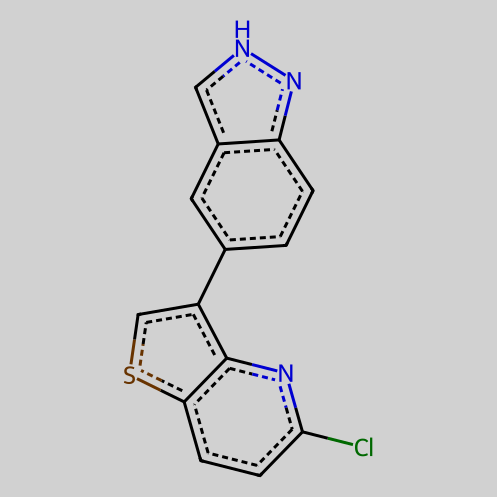 Clc1ccc2scc(-c3ccc4n[nH]cc4c3)c2n1